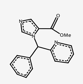 COC(=O)c1cncn1C(c1ccccc1)c1ccccn1